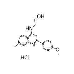 COc1ccc(-c2cc(NCCO)c3ccc(C)cc3n2)cc1.Cl